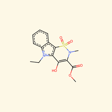 CCn1c2c(c3ccccc31)S(=O)(=O)N(C)C(C(=O)OC)=C2O